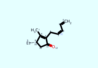 C=C/C=C\CC1=C(C)[C@@H](CC)CC1=O